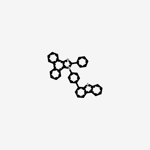 c1ccc(-c2nc3c4ccccc4c4ccccc4c3n2-c2ccc(-c3cccc4c3sc3ccccc34)cc2)cc1